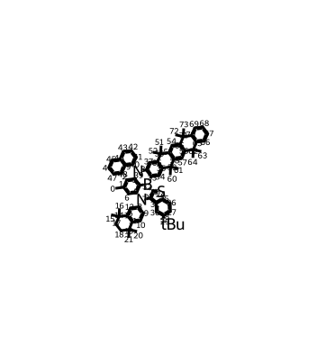 Cc1cc2c3c(c1)N(c1ccc4c(c1)C(C)(C)CCC4(C)C)c1c(sc4ccc(C(C)(C)C)cc14)B3c1cc3c(cc1N2c1cccc2ccccc12)C(C)(C)c1cc2c(cc1C3(C)C)C(C)(C)c1ccccc1C2(C)C